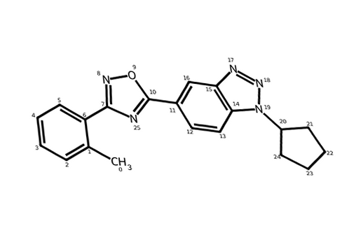 Cc1ccccc1-c1noc(-c2ccc3c(c2)nnn3C2CCCC2)n1